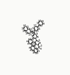 CC1(C)c2ccc(-c3ccc(N(c4ccc(-c5ccccc5)cc4)c4ccc5ccccc5c4)cc3)cc2-c2c(-c3ccccc3)ccc3cccc1c23